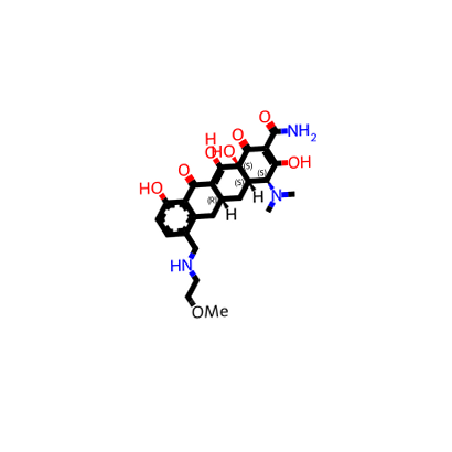 COCCNCc1ccc(O)c2c1C[C@H]1C[C@H]3[C@H](N(C)C)C(O)=C(C(N)=O)C(=O)[C@@]3(O)C(O)=C1C2=O